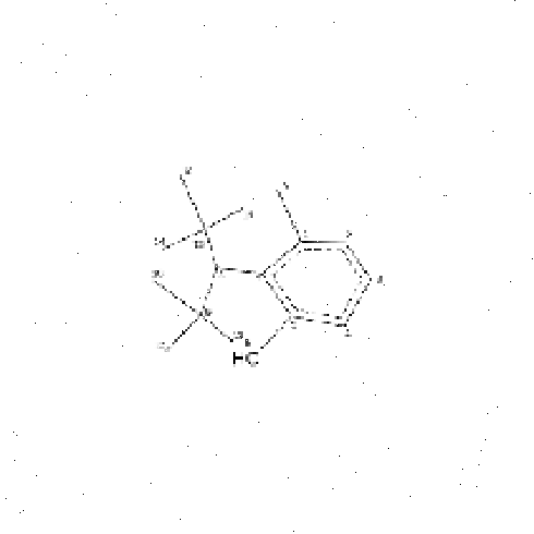 Cc1cccc(O)c1C(C(C)(C)C)C(C)(C)C